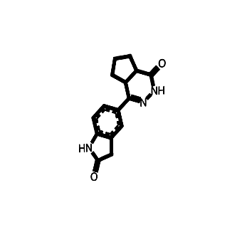 O=C1Cc2cc(C3=NNC(=O)C4CCCC34)ccc2N1